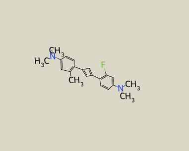 Cc1cc(N(C)C)ccc1C1=CC(c2ccc(N(C)C)cc2F)=C1